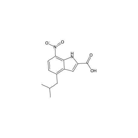 CC(C)Cc1ccc([N+](=O)[O-])c2[nH]c(C(=O)O)cc12